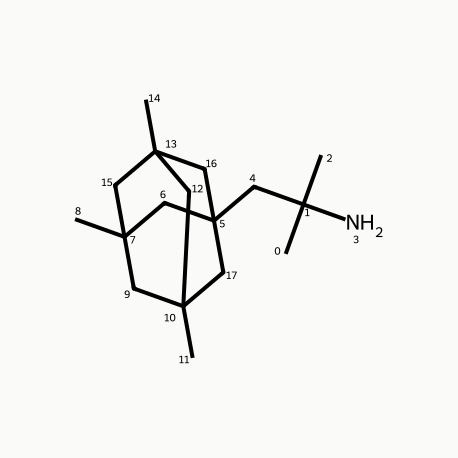 CC(C)(N)CC12CC3(C)CC(C)(CC(C)(C3)C1)C2